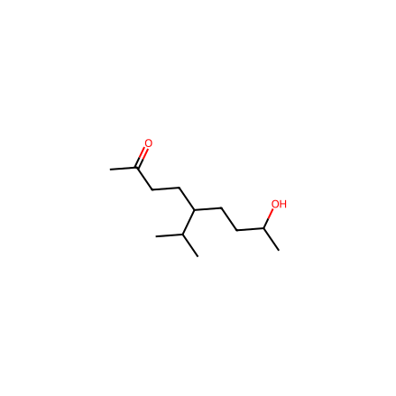 CC(=O)CCC(CCC(C)O)C(C)C